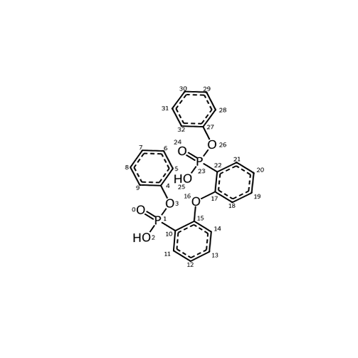 O=P(O)(Oc1ccccc1)c1ccccc1Oc1ccccc1P(=O)(O)Oc1ccccc1